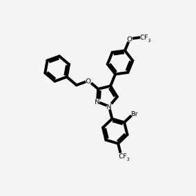 FC(F)(F)Oc1ccc(-c2cn(-c3ccc(C(F)(F)F)cc3Br)nc2OCc2ccccc2)cc1